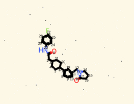 O=C(CC1CCC(c2cccc(CN3CCCC3=O)c2)CC1)Nc1ccc(F)cc1